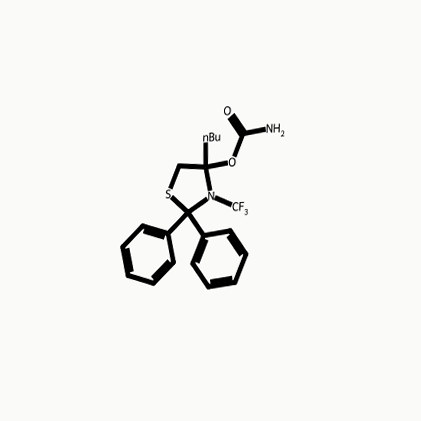 CCCCC1(OC(N)=O)CSC(c2ccccc2)(c2ccccc2)N1C(F)(F)F